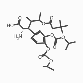 CC(C)OC(=O)Oc1ccc(C(C(C)C(C)OC(=O)CC(C)(C)C)[C@H](N)C(=O)O)cc1OC(=O)OC(C)C